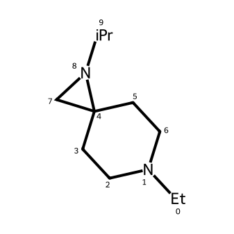 CCN1CCC2(CC1)CN2C(C)C